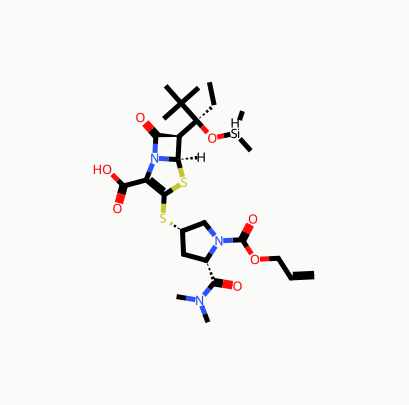 C=CCOC(=O)N1C[C@@H](SC2=C(C(=O)O)N3C(=O)[C@@H]([C@](CC)(O[SiH](C)C)C(C)(C)C)[C@H]3S2)C[C@H]1C(=O)N(C)C